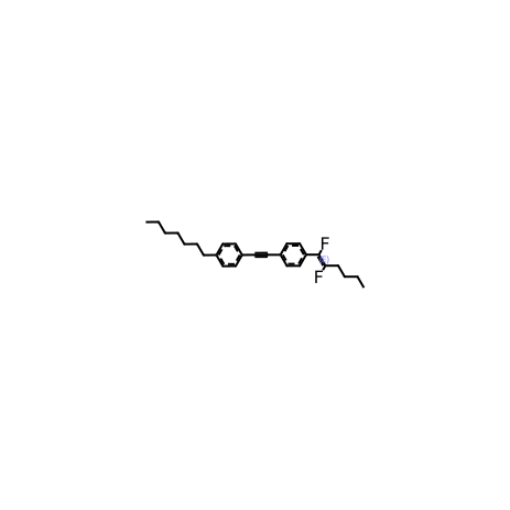 CCCCCCCc1ccc(C#Cc2ccc(/C(F)=C(\F)CCCC)cc2)cc1